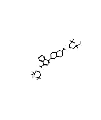 CC1(C)CC(OC(=O)c2ccc(C3CCC4CC(C(=O)OC5CC(C)(C)NC(C)(C)C5)CCC4C3)c3ccccc23)CC(C)(C)N1